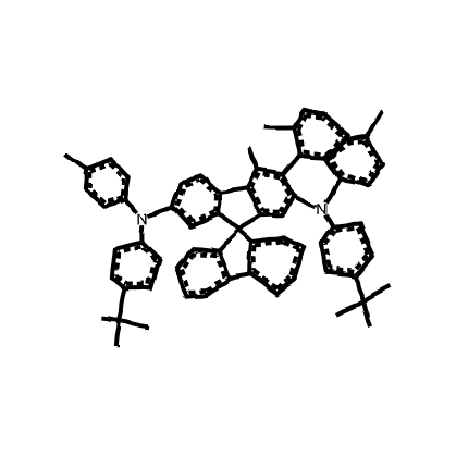 Cc1ccc(N(c2ccc(C(C)(C)C)cc2)c2ccc3c(c2)C2(c4ccccc4-c4ccccc42)c2cc(N(c4ccc(C)cc4)c4ccc(C(C)(C)C)cc4)c(-c4ccccc4C)c(C)c2-3)cc1